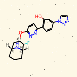 Oc1cc(-n2ccnn2)ccc1-c1ccc(O[C@@H]2C[C@H]3CCC[C@H](N3)[C@@H]2F)nn1